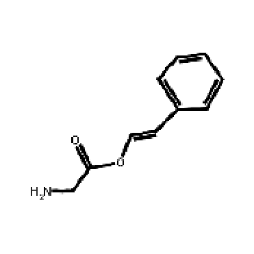 NCC(=O)OC=Cc1ccccc1